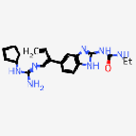 C=C/C(=C\N=C(/N)NC1CCCC1)c1ccc2[nH]c(NC(=O)NCC)nc2c1